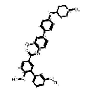 COc1cccc(-c2cc(C(=O)Nc3ccc(-c4ccc(OC5CCN(C)CC5)cc4)cc3N)ccc2OC)c1